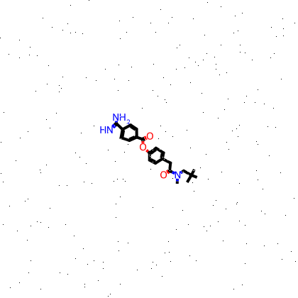 CN(CC(C)(C)C)C(=O)Cc1ccc(OC(=O)c2ccc(C(=N)N)cc2)cc1